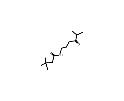 CC(C)C(=O)CCCNC(=O)CC(C)(C)C